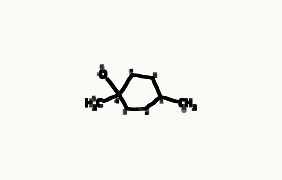 CC1CCC(C)([O])CC1